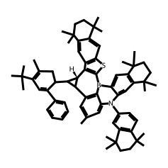 CC1=C(C(C)(C)C)C=C(c2ccccc2)C(C2C3c4cc(C)cc5c4B(c4cc6c(cc4N5c4ccc5c(c4)C(C)(C)CCC5(C)C)C(C)(C)CCC6(C)C)c4sc5cc6c(cc5c4[C@H]32)C(C)(C)CCC6(C)C)C1